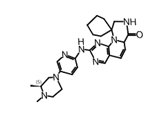 C[C@H]1CN(c2ccc(Nc3ncc4c(n3)N3C(C=C4)C(=O)NCC34CCCCC4)nc2)CCN1C